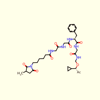 CC(=O)[C@@H](OCNC(=O)CNC(=O)[C@H](Cc1ccccc1)NC(=O)CNC(=O)CNC(=O)CCCCCN1C(=O)CC(C)C1=O)C1CC1